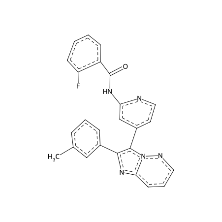 Cc1cccc(-c2nc3cccnn3c2-c2ccnc(NC(=O)c3ccccc3F)c2)c1